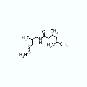 CC(N)CC(C)CC(=O)NCC(C)CSSN